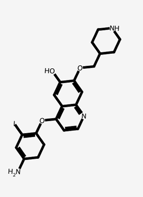 NC1=CC(I)=C(Oc2ccnc3cc(OCC4CCNCC4)c(O)cc23)CC1